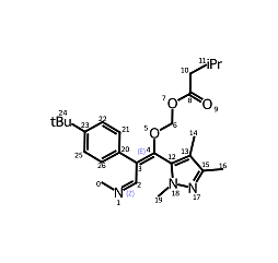 C/N=C\C(=C(\OCOC(=O)CC(C)C)c1c(C)c(C)nn1C)c1ccc(C(C)(C)C)cc1